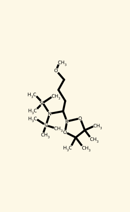 COCCCC(B1OC(C)(C)C(C)(C)O1)N([Si](C)(C)C)[Si](C)(C)C